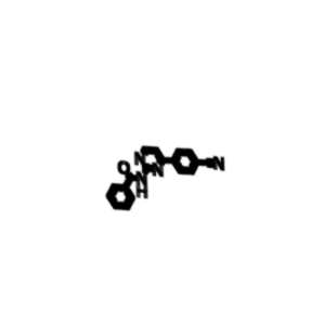 N#Cc1ccc(-c2ccnc(NC(=O)c3ccccc3)n2)cc1